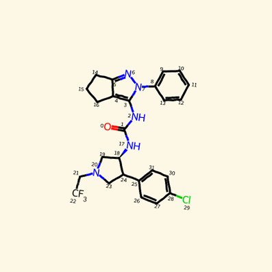 O=C(Nc1c2c(nn1-c1ccccc1)CCC2)N[C@@H]1CN(CC(F)(F)F)CC1c1ccc(Cl)cc1